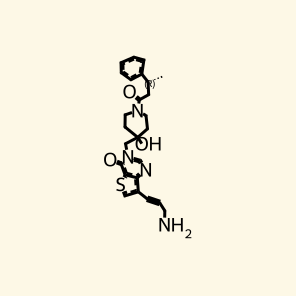 C[C@H](CC(=O)N1CCC(O)(Cn2cnc3c(C#CCN)csc3c2=O)CC1)c1ccccc1